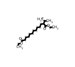 CCOC(=O)CCCCCCCCCCC(C(=O)OCC)C(C)C